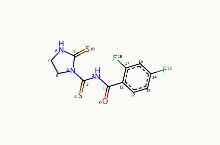 O=C(NC(=S)N1CCNC1=S)c1ccc(F)cc1F